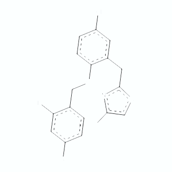 O=C(O)c1csc(Cc2cc(Cl)ccc2OCc2ccc(Br)cc2F)n1